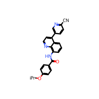 CC(C)Oc1ccc(C(=O)Nc2cccc3c(-c4ccc(C#N)nc4)ccnc23)cc1